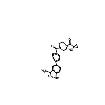 NC1NNc2ccc(-c3ccc(C(=O)N4CCN(C(=O)C5(O)CC5)CC4)cc3)cc21